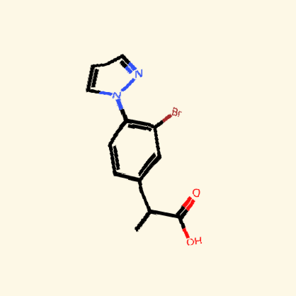 CC(C(=O)O)c1ccc(-n2cccn2)c(Br)c1